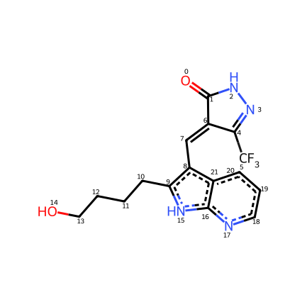 O=C1NN=C(C(F)(F)F)C1=Cc1c(CCCCO)[nH]c2ncccc12